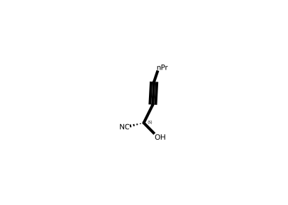 CCCC#C[C@H](O)C#N